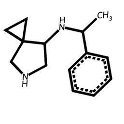 CC(NC1CNCC12CC2)c1ccccc1